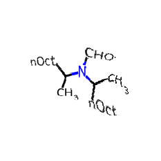 CCCCCCCCC(C)N([C]=O)C(C)CCCCCCCC